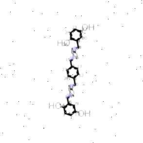 Oc1ccc(O)c(/C=N/N=C/c2ccc(/C=N/N=C/c3cc(O)ccc3O)cc2)c1